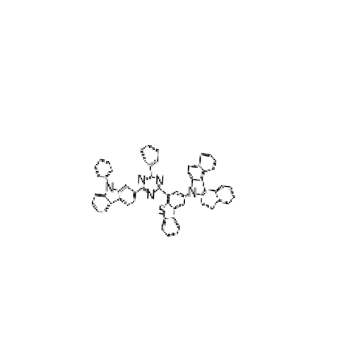 c1ccc(-c2nc(-c3ccc4c5ccccc5n(-c5ccccc5)c4c3)nc(-c3cc(-n4c5ccc6ccccc6c5c5c6ccccc6ccc54)cc4c3sc3ccccc34)n2)cc1